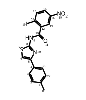 Cc1ccc(-c2csc(NC(=O)c3cc([N+](=O)[O-])ccc3I)n2)cc1